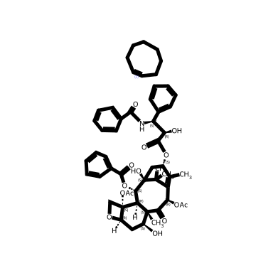 C1=C\CCCCCC/1.CC(=O)O[C@H]1C(=O)[C@@]2(C)[C@H]([C@H](OC(=O)c3ccccc3)[C@]3(O)C[C@H](OC(=O)[C@H](O)[C@@H](NC(=O)c4ccccc4)c4ccccc4)C(C)=C1C3(C)C)[C@]1(OC(C)=O)CO[C@@H]1C[C@@H]2O